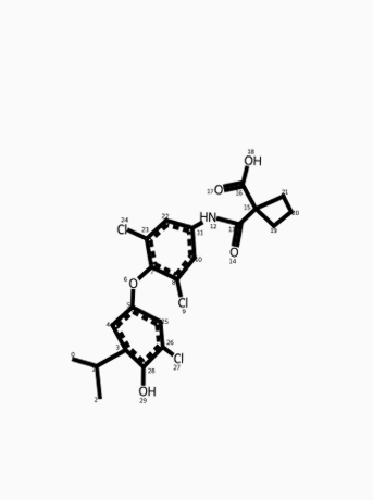 CC(C)c1cc(Oc2c(Cl)cc(NC(=O)C3(C(=O)O)CCC3)cc2Cl)cc(Cl)c1O